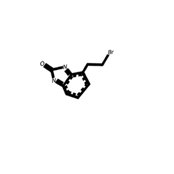 O=C1N=c2cccc(CCBr)c2=N1